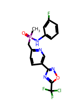 CP(=O)(Cc1ccc(-c2noc(C(F)(F)Cl)n2)cn1)Nc1cccc(F)c1